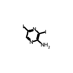 Nc1ncc(I)nc1I